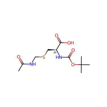 CC(=O)NCSC[C@H](NC(=O)OC(C)(C)C)C(=O)O